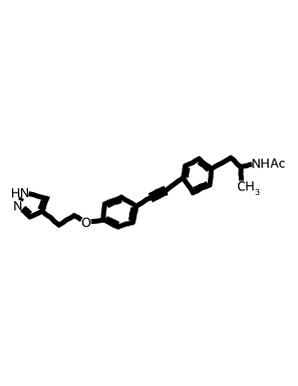 CC(=O)NC(C)Cc1ccc(C#Cc2ccc(OCCc3cn[nH]c3)cc2)cc1